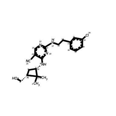 CC1(C)[C@H](CO)C[C@@H]1Nc1nc(NCCc2cccc(Cl)c2)ncc1C#N